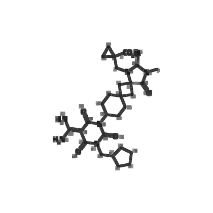 CCOC(=O)C1(CN2C(=O)N(C)C(=O)C23CC2(CCC(N4C(=O)C(=C(N)N)C(=O)N(CC5CCCC5)C4=O)CC2)C3)CC1